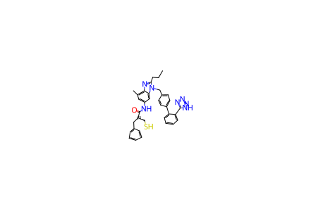 CCCc1nc2c(C)cc(NC(=O)[C@@H](CS)Cc3ccccc3)cc2n1Cc1ccc(-c2ccccc2-c2nnn[nH]2)cc1